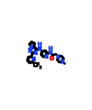 CN1CCN(CC(=O)Nc2cc(Nc3nc(-c4cccc(C(F)(F)F)n4)nn4cccc34)ccn2)CC1